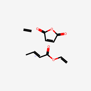 C=C.C=COC(=O)/C=C/C.O=C1C=CC(=O)O1